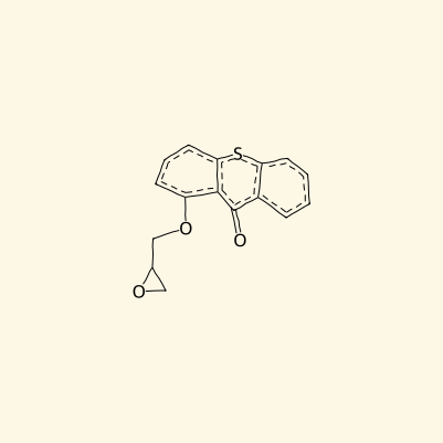 O=c1c2ccccc2sc2cccc(OCC3CO3)c12